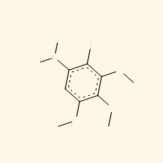 COc1cc(B(O)O)c(I)c(OC)c1OC